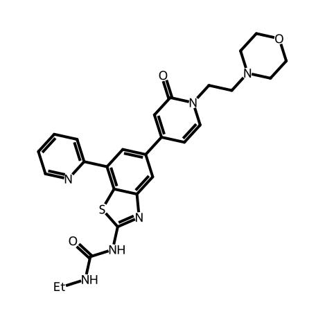 CCNC(=O)Nc1nc2cc(-c3ccn(CCN4CCOCC4)c(=O)c3)cc(-c3ccccn3)c2s1